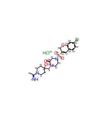 CC(=N)N1CCC(O)(CN2CCN(S(=O)(=O)C3=Cc4ccc(Br)cc4OC3)CC2=O)CC1.Cl